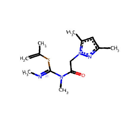 C=C(C)S/C(=N\C)N(C)C(=O)Cn1nc(C)cc1C